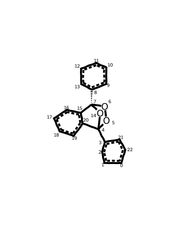 c1ccc(C23OO[C@@](c4ccccc4)(O2)c2ccccc23)cc1